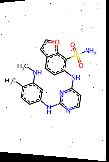 CNc1cc(Nc2nccc(Nc3ccc4ccoc4c3S(N)(=O)=O)n2)ccc1C